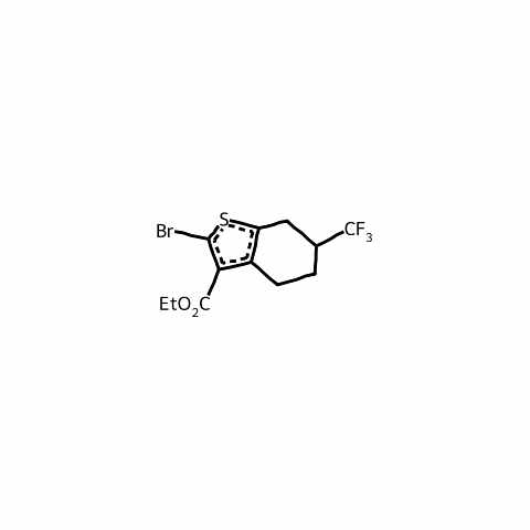 CCOC(=O)c1c(Br)sc2c1CCC(C(F)(F)F)C2